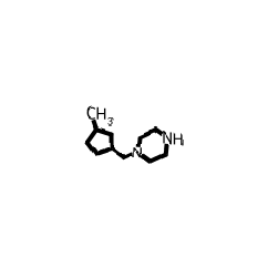 CC1CCC(CN2CCNCC2)C1